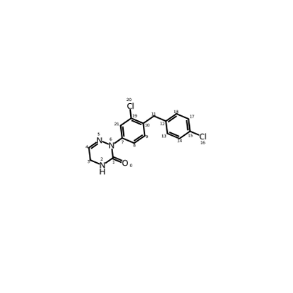 O=C1NCC=NN1c1ccc(Cc2ccc(Cl)cc2)c(Cl)c1